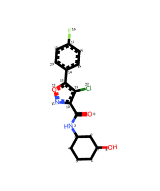 O=C(NC1CCCC(O)C1)c1noc(-c2ccc(F)cc2)c1Cl